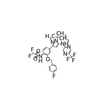 CC(C)(C)n1nc(-c2ccc(NS(=O)(=O)C(F)F)c(OCc3ccc(F)cc3)c2)cc1Nc1cnc(C(F)(F)F)cn1